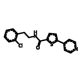 O=C(NCCc1ccccc1Cl)c1ccc(-c2ccncc2)s1